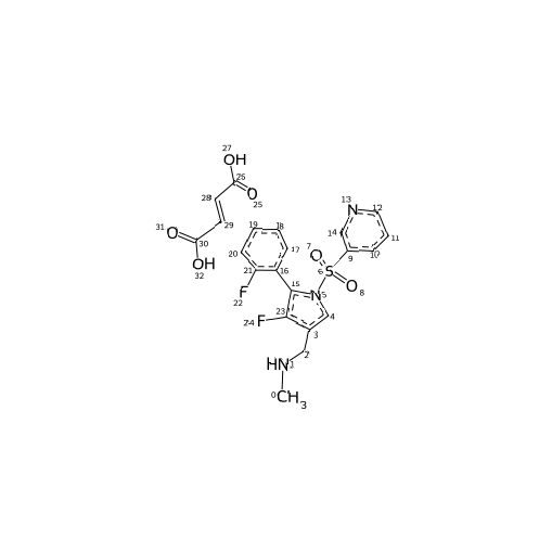 CNCc1cn(S(=O)(=O)c2cccnc2)c(-c2ccccc2F)c1F.O=C(O)C=CC(=O)O